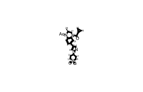 CC(=O)N1c2ccc(-c3cnn(C4CCS(=O)(=O)CC4)c3)cc2N(C(=O)C2CC2)C[C@@H]1C